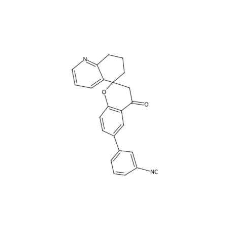 [C-]#[N+]c1cccc(-c2ccc3c(c2)C(=O)CC2(CCCc4ncccc42)O3)c1